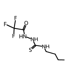 CCCCNC(=S)NNC(=O)C(F)(F)F